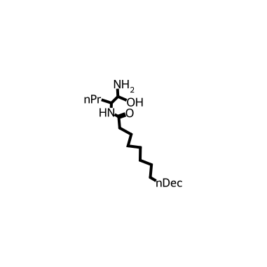 CCCCCCCCCCCCCCCCCC(=O)NC(CCC)C(N)O